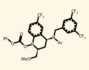 COC[C@@H]1C[C@H](N(Cc2cc(C(F)(F)F)cc(C(F)(F)F)c2)C(C)=O)c2cc(C(F)(F)F)ccc2N1OC(=O)OC(C)C